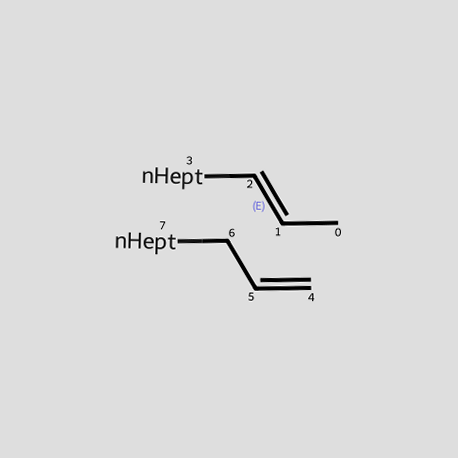 C/C=C/CCCCCCC.C=CCCCCCCCC